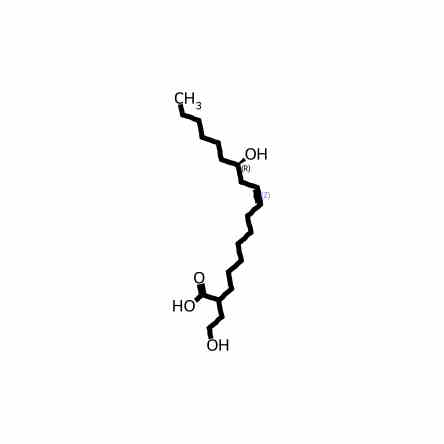 CCCCCC[C@@H](O)C/C=C\CCCCCCC(CCO)C(=O)O